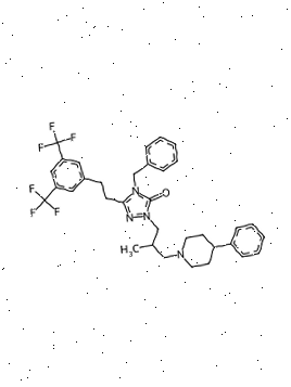 CC(CN1CCC(c2ccccc2)CC1)Cn1nc(CCc2cc(C(F)(F)F)cc(C(F)(F)F)c2)n(Cc2ccccc2)c1=O